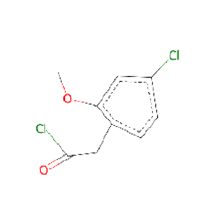 COc1cc(Cl)ccc1CC(=O)Cl